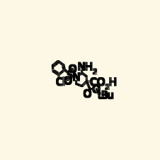 CC(C)(C)OC(=O)C1(C(=O)O)CCN(S(=O)(=O)c2ccccc2Cl)C(N)C1